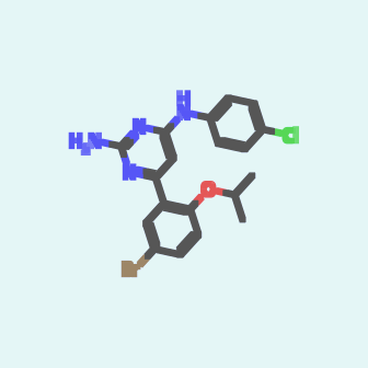 CC(C)Oc1ccc(Br)cc1-c1cc(Nc2ccc(Cl)cc2)nc(N)n1